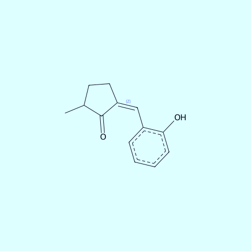 CC1CC/C(=C/c2ccccc2O)C1=O